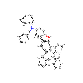 c1ccc(N(c2ccccc2)c2ccc3oc4cc5c(cc4c3c2)-c2ccccc2C5(c2ccccc2)c2ccccc2)cc1